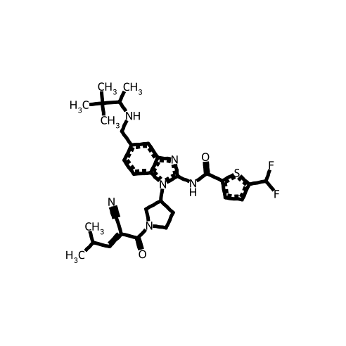 CC(C)C=C(C#N)C(=O)N1CCC(n2c(NC(=O)c3ccc(C(F)F)s3)nc3cc(CNC(C)C(C)(C)C)ccc32)C1